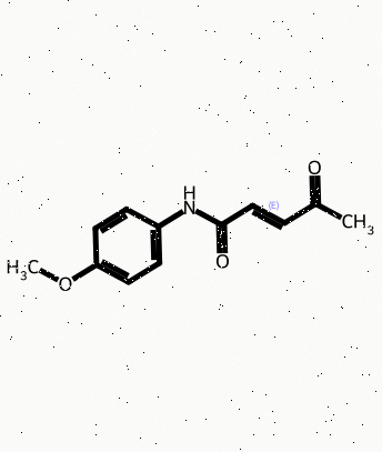 COc1ccc(NC(=O)/C=C/C(C)=O)cc1